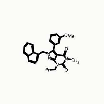 COc1cccc(-c2c3c(=O)n(C)c(=O)n(CC(C)C)c3nn2Cc2cccc3ccccc23)c1